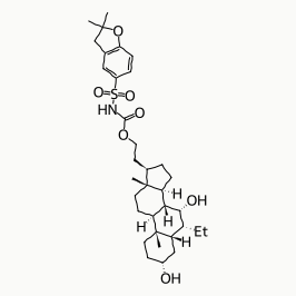 CC[C@H]1[C@@H](O)[C@@H]2[C@H](CC[C@]3(C)[C@@H](CCOC(=O)NS(=O)(=O)c4ccc5c(c4)CC(C)(C)O5)CC[C@@H]23)[C@@]2(C)CC[C@@H](O)C[C@@H]12